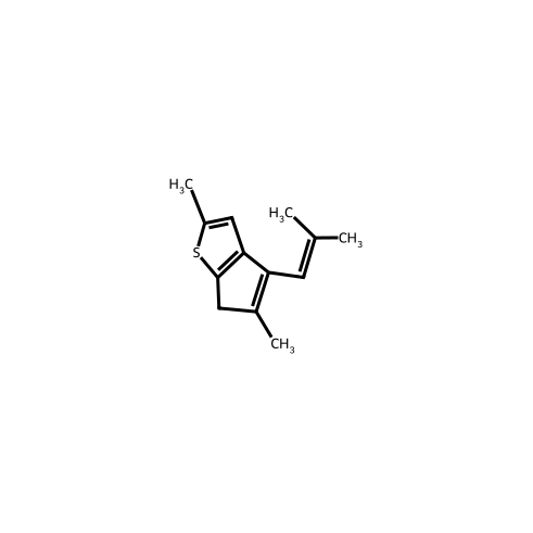 CC(C)=CC1=C(C)Cc2sc(C)cc21